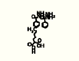 CCCCCC(C(=O)O)C(=O)O.NNC(=O)c1ccccc1.NNC(=O)c1ccccc1